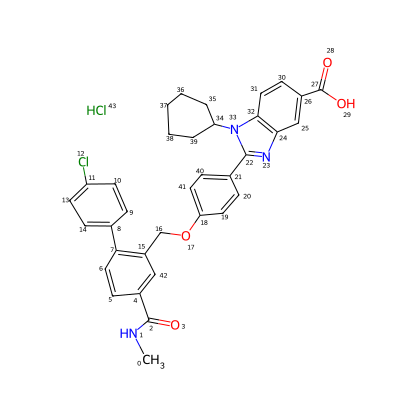 CNC(=O)c1ccc(-c2ccc(Cl)cc2)c(COc2ccc(-c3nc4cc(C(=O)O)ccc4n3C3CCCCC3)cc2)c1.Cl